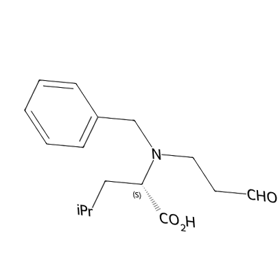 CC(C)C[C@@H](C(=O)O)N(CCC=O)Cc1ccccc1